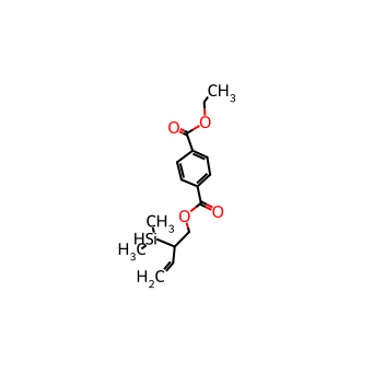 C=CC(COC(=O)c1ccc(C(=O)OCC)cc1)[SiH](C)C